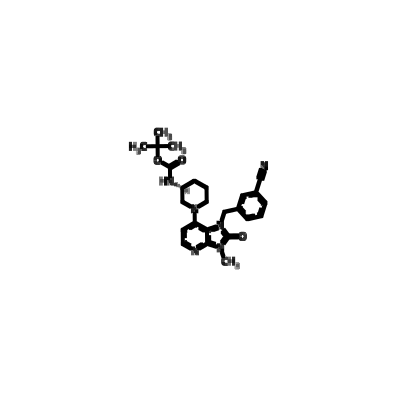 Cn1c(=O)n(Cc2cccc(C#N)c2)c2c(N3CCC[C@@H](NC(=O)OC(C)(C)C)C3)ccnc21